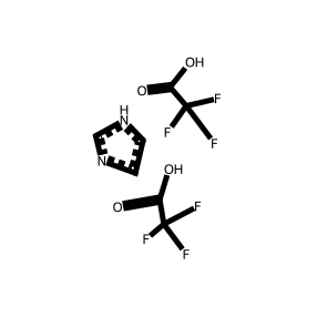 O=C(O)C(F)(F)F.O=C(O)C(F)(F)F.c1c[nH]cn1